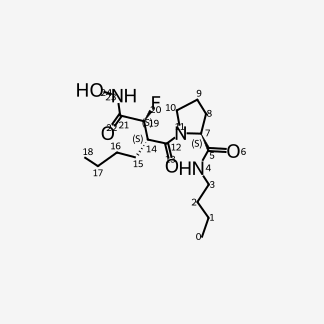 CCCCNC(=O)[C@@H]1CCCN1C(=O)[C@H](CCCC)[C@H](F)C(=O)NO